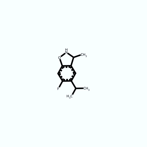 CC(C)c1cc2c(cc1F)ONC2C